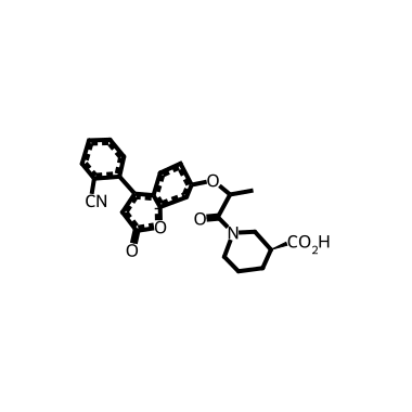 CC(Oc1ccc2c(-c3ccccc3C#N)cc(=O)oc2c1)C(=O)N1CCC[C@H](C(=O)O)C1